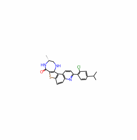 CC(C)c1ccc(-c2ccc3c(ccc4sc5c(c43)NC[C@@H](C)NC5=O)n2)c(Cl)c1